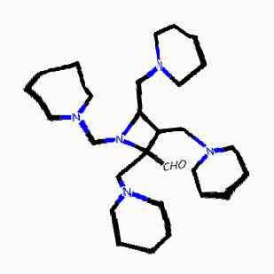 O=CC1(CN2CCCCC2)C(CN2CCCCC2)C(CN2CCCCC2)N1CN1CCCCC1